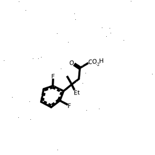 CCC(C)(CC(=O)C(=O)O)c1c(F)cccc1F